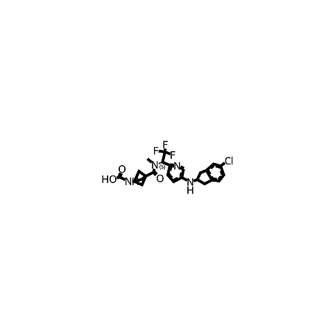 CN(C(=O)C12CC(NC(=O)O)(C1)C2)[C@@H](c1ccc(NC2Cc3ccc(Cl)cc3C2)cn1)C(F)(F)F